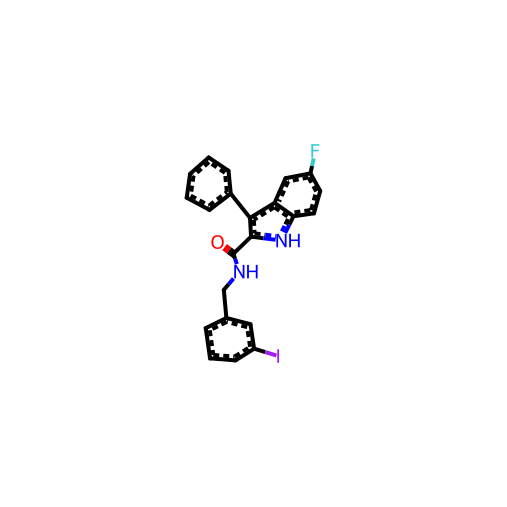 O=C(NCc1cccc(I)c1)c1[nH]c2ccc(F)cc2c1-c1ccccc1